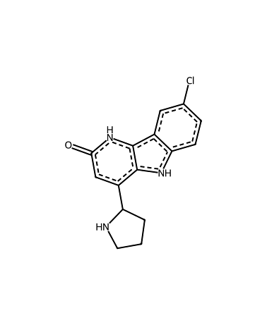 O=c1cc(C2CCCN2)c2[nH]c3ccc(Cl)cc3c2[nH]1